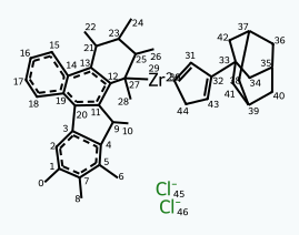 Cc1cc2c(c(C)c1C)C(C)c1c3c(c4ccccc4c1-2)C(C)C(C)C(C)[C]3(C)[Zr+2][C]1=CC(C23CC4CC(CC(C4)C2)C3)=CC1.[Cl-].[Cl-]